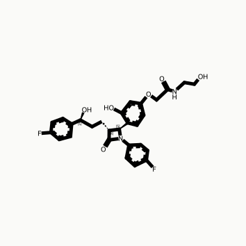 O=C(COc1ccc([C@@H]2[C@@H](CC[C@H](O)c3ccc(F)cc3)C(=O)N2c2ccc(F)cc2)c(O)c1)NCCO